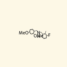 COc1ccc(CNCc2cccc(F)c2C)c(OC)c1